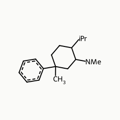 CNC1CC(C)(c2ccccc2)CCC1C(C)C